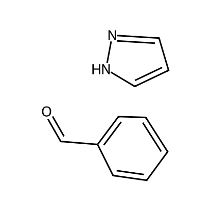 O=Cc1ccccc1.c1cn[nH]c1